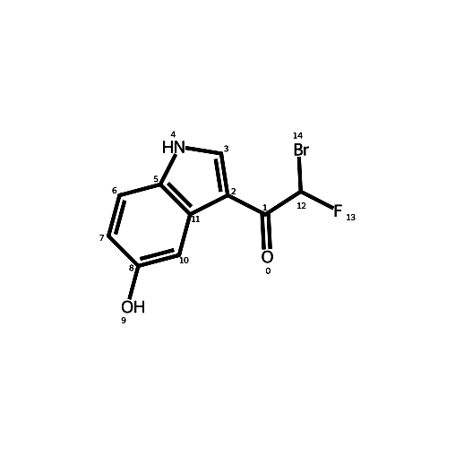 O=C(c1c[nH]c2ccc(O)cc12)C(F)Br